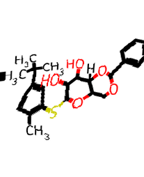 Cc1ccc(C(C)(C)C)cc1S[C@@H]1OC2COC(c3ccccc3)O[C@H]2C(O)C1O